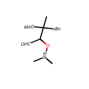 CCCCC(C)(OC)C(C=O)O[SiH](C)C